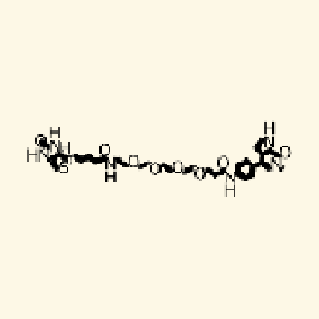 CN1C=C(c2ccc(NC(=O)CCOCCOCCOCCOCCNC(=O)CCCC[C@@H]3SCC4NC(=O)N[C@@H]43)cc2)C2C=CNC2C1=O